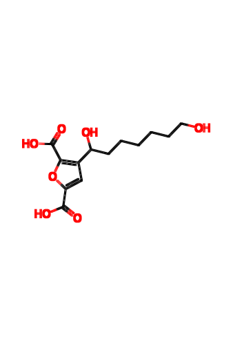 O=C(O)c1cc(C(O)CCCCCCO)c(C(=O)O)o1